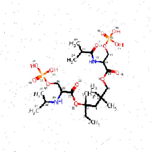 CCC(C)(CC(C)(C)COC(=O)C(COP(=O)(O)O)NC(=O)C(C)C)OC(=O)C(COP(=O)(O)O)NC(C)C